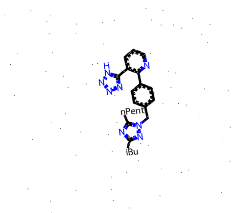 CCCCCc1nc(C(C)CC)nn1Cc1ccc(-c2ncccc2-c2nnn[nH]2)cc1